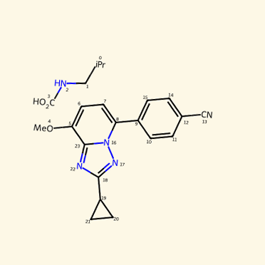 CC(C)CNC(=O)O.COc1ccc(-c2ccc(C#N)cc2)n2nc(C3CC3)nc12